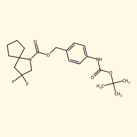 CC(C)(C)OC(=O)Nc1ccc(COC(=O)N2CC(F)(F)CC23CCCC3)cc1